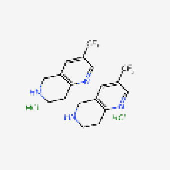 Cl.Cl.FC(F)(F)c1cnc2c(c1)CNCC2.FC(F)(F)c1cnc2c(c1)CNCC2